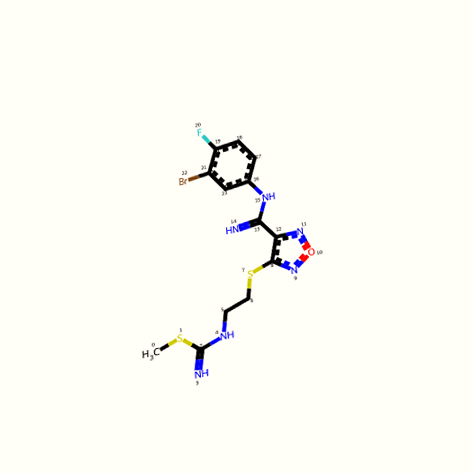 CSC(=N)NCCSc1nonc1C(=N)Nc1ccc(F)c(Br)c1